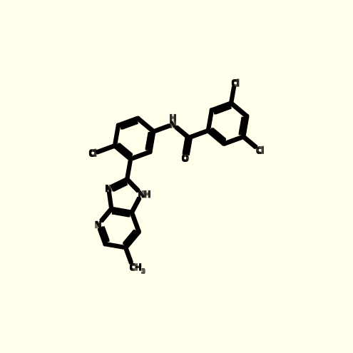 Cc1cnc2nc(-c3cc(NC(=O)c4cc(Cl)cc(Cl)c4)ccc3Cl)[nH]c2c1